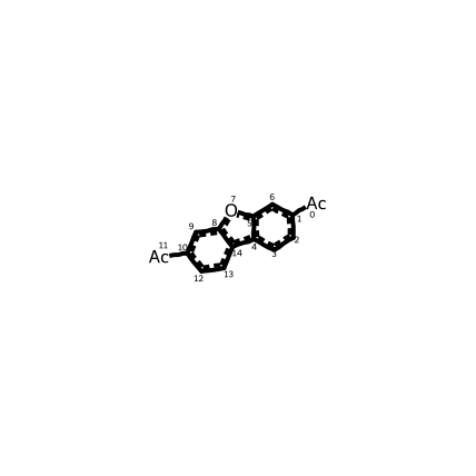 CC(=O)c1ccc2c(c1)oc1cc(C(C)=O)ccc12